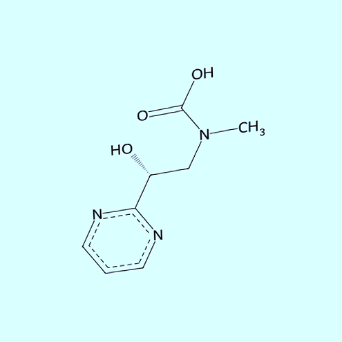 CN(C[C@@H](O)c1ncccn1)C(=O)O